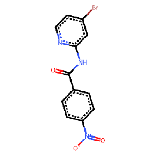 O=C(Nc1cc(Br)ccn1)c1ccc([N+](=O)[O-])cc1